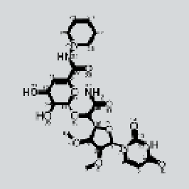 COC1C(OC)[C@H](n2ccc(=O)[nH]c2=O)O[C@@H]1C(O[C@H]1OC(C(=O)NN2CCCCC2)=CC(O)C1O)C(N)=O